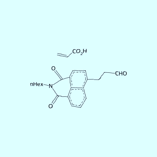 C=CC(=O)O.CCCCCCN1C(=O)c2cccc3c(CCC=O)ccc(c23)C1=O